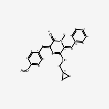 COc1ccc(/C=c2\nc(OCC3CC3)/c(=C/c3ccccc3)n(C)c2=O)cc1